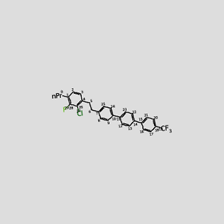 CCCc1ccc(CCc2ccc(-c3ccc(-c4ccc(C(F)(F)F)cc4)cc3)cc2)c(Cl)c1F